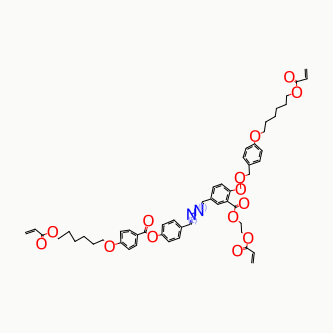 C=CC(=O)OCCCCCCOc1ccc(COOc2ccc(/C=N/N=C/c3ccc(OC(=O)c4ccc(OCCCCCCOC(=O)C=C)cc4)cc3)cc2C(=O)OCCOC(=O)C=C)cc1